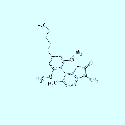 CCCCCc1cc(OC)c(-c2c(C)ccc3c2CC(=O)N3C)c(OC)c1